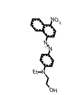 CCN(CCO)c1ccc(/N=N/c2ccc([N+](=O)[O-])c3ccccc23)cc1